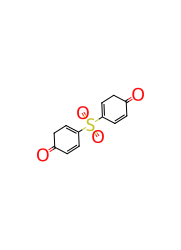 O=C1C=CC(S(=O)(=O)C2=CCC(=O)C=C2)=CC1